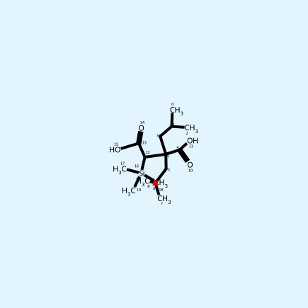 CC(C)CC(CC(C)C)(C(=O)O)C(C(=O)O)[Si](C)(C)C